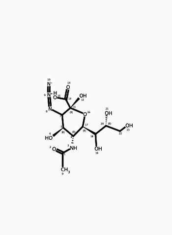 CC(=O)N[C@@H]1[C@@H](O)C(N=[N+]=[N-])[C@](O)(C(=O)O)O[C@H]1C(O)[C@H](O)CO